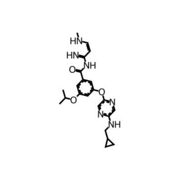 CN/C=C\C(=N)NC(=O)c1cc(Oc2cnc(NCC3CC3)cn2)cc(OC(C)C)c1